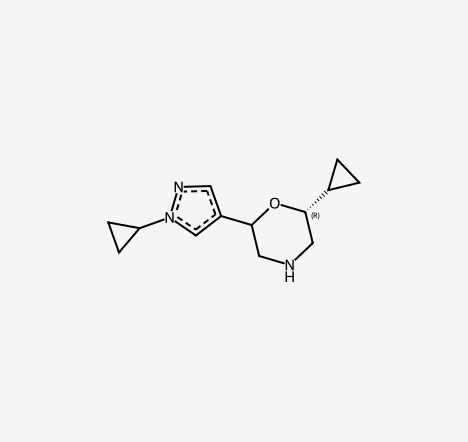 c1nn(C2CC2)cc1C1CNC[C@@H](C2CC2)O1